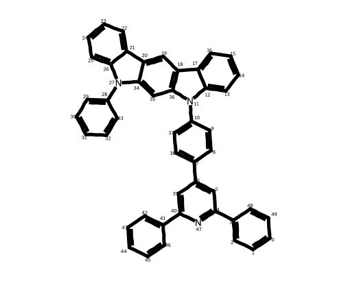 c1ccc(-c2cc(-c3ccc(-n4c5ccccc5c5cc6c7ccccc7n(-c7ccccc7)c6cc54)cc3)cc(-c3ccccc3)n2)cc1